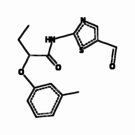 CCC(Oc1cccc(C)c1)C(=O)Nc1ncc(C=O)s1